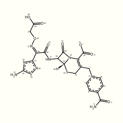 NC(=O)c1cc[n+](CC2=C(C(=O)[O-])N3C(=O)C(NC(=O)/C(=N\OCC(=O)O)c4nsc(N)n4)[C@H]3SC2)cc1